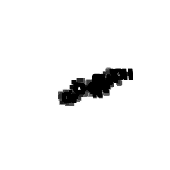 C=C(NCC(C)(C)C(=C)O)c1ncc(-c2cccc(CN3CCCC3)c2)cc1O